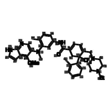 CCN1CCN(CC2=CC=C(C(=O)Nc3ccc(C)c(N(C)c4cnc5[nH]ccc5c4OC)c3)CC2(c2ccccc2C)C(F)(F)F)CC1